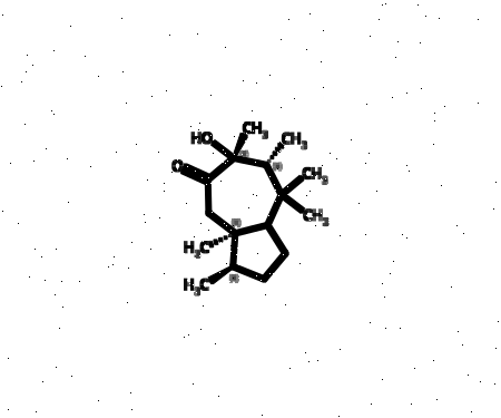 C[C@@H]1C(C)(C)C2CC[C@@H](C)[C@@]2(C)CC(=O)[C@]1(C)O